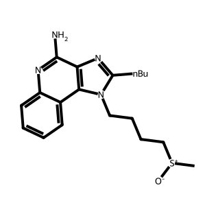 CCCCc1nc2c(N)nc3ccccc3c2n1CCCC[S+](C)[O-]